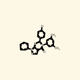 Cc1cc(C)cc(-n2c(-c3ccc(Cl)cc3)nc3c(cnn3-c3ccccc3)c2=O)c1